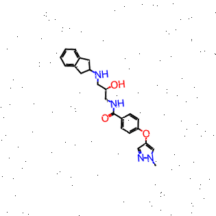 Cn1cc(Oc2ccc(C(=O)NC[C@H](O)CNC3Cc4ccccc4C3)cc2)cn1